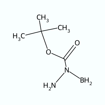 BN(N)C(=O)OC(C)(C)C